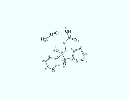 COC.O=C(O)CCC(O)(C(=O)c1ccccc1)c1ccccc1